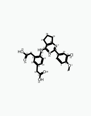 COc1ccc(-c2nc3c(c(Nc4ccc(CC(=O)O)cc4CC(=O)O)n2)CCC3)cc1Cl